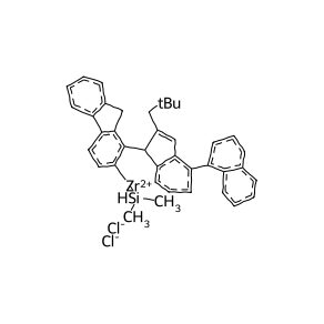 C[SiH](C)[Zr+2][c]1ccc2c(c1C1C(CC(C)(C)C)=Cc3c(-c4cccc5ccccc45)cccc31)Cc1ccccc1-2.[Cl-].[Cl-]